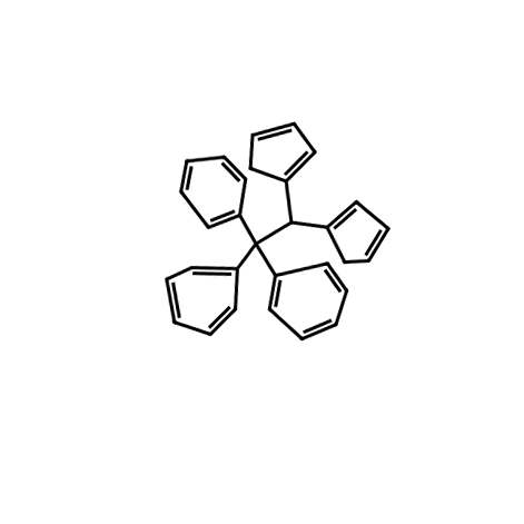 C1=CCC(C(C2=CC=CC2)C(c2ccccc2)(c2ccccc2)c2ccccc2)=C1